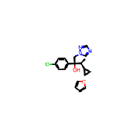 CC(C1CC1)C(O)(Cn1cncn1)c1ccc(Cl)cc1.c1ccoc1